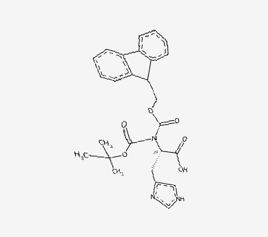 CC(C)(C)OC(=O)N(C(=O)OCC1c2ccccc2-c2ccccc21)[C@@H](Cc1c[nH]cn1)C(=O)O